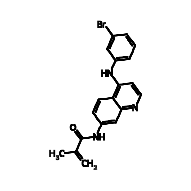 C=C(C)C(=O)Nc1ccc2c(Nc3cccc(Br)c3)ccnc2c1